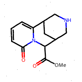 COC(=O)C1C2CNCC(C2)c2cccc(=O)n21